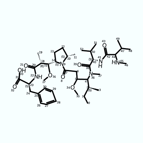 CC[C@H](C)C(C(CC(=O)N1[C@@H](C)CC[C@H]1C(OC)[C@@H](C)C(=O)N[C@@H](Cc1ccccc1)C(=O)O)OC)N(C)C(=O)[C@@H](NC(=O)C(NC)C(C)C)C(C)C